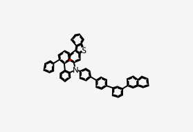 c1ccc(-c2ccccc2-c2ccccc2N(c2ccc(-c3ccc(-c4cccc(-c5ccc6ccccc6c5)c4)cc3)cc2)c2ccc3c(c2)sc2ccccc23)cc1